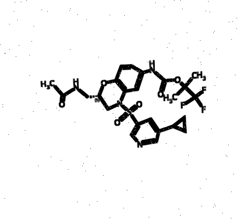 CC(=O)NC[C@H]1CN(S(=O)(=O)c2cncc(C3CC3)c2)c2cc(NC(=O)OC(C)(C)C(F)(F)F)ccc2O1